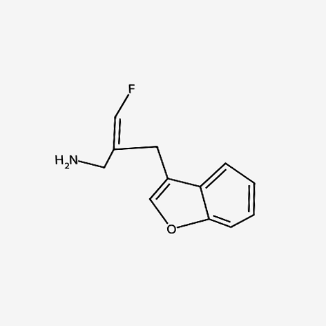 NC/C(=C/F)Cc1coc2ccccc12